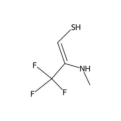 CN/C(=C\S)C(F)(F)F